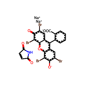 O=C([O-])c1ccccc1-c1c2cc(Br)c(=O)c(Br)c-2oc2c(Br)c([O-])c(Br)cc12.O=C1C=CC(=O)N1.[Na+].[Na+]